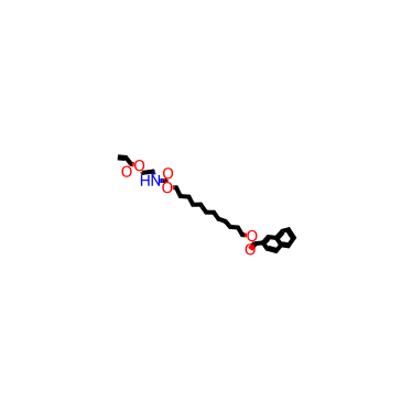 C=CC(=O)OCCNC(=O)OCCCCCCCCCCCCOC(=O)c1ccc2ccccc2c1